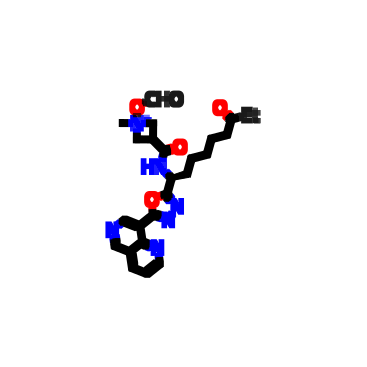 CCC(=O)CCCCC[C@H](NC(=O)C1C[N+](C)(OC=O)C1)c1nnc(-c2cncc3cccnc23)o1